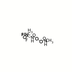 CNC(=O)c1cccc(-c2ccc(C(=O)NCCc3c(C)[nH]c4c(F)ccc(F)c34)cc2)c1